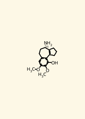 COc1cc2c(c(O)c1OC)C1=C(CCC1)[C@@H](N)CC2